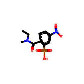 CCN(C)C(=O)c1ccc([N+](=O)[O-])cc1S(=O)(=O)O